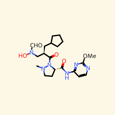 COc1nccc(NC(=O)[C@@H]2CCN(C)N2C(=O)[C@H](CC2CCCC2)CN(O)C=O)n1